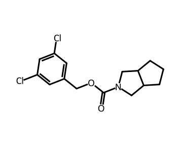 O=C(OCc1cc(Cl)cc(Cl)c1)N1CC2CCCC2C1